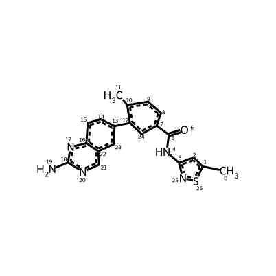 Cc1cc(NC(=O)c2ccc(C)c(-c3ccc4nc(N)ncc4c3)c2)ns1